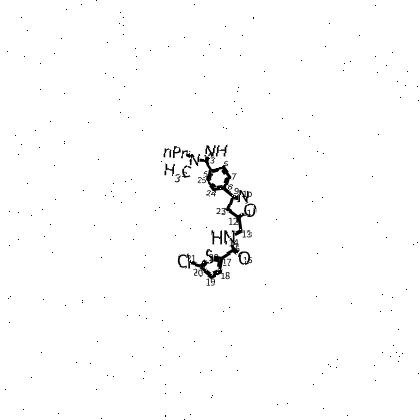 CCCN(C)C(=N)c1ccc(C2=NOC(CNC(=O)c3ccc(Cl)s3)C2)cc1